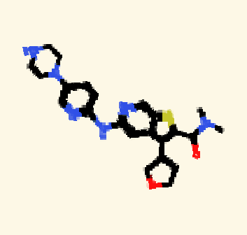 CN(C)C(=O)c1sc2cnc(Nc3ccc(N4CCNCC4)cn3)cc2c1C1CCOC1